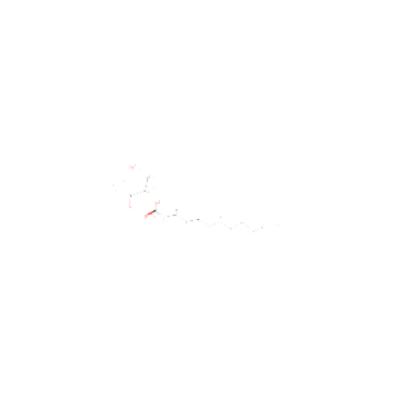 CCCCCCCCCCCCCCCCCCCC(=O)OC(CO)C(O)C(C)=O